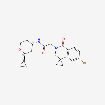 O=C(CN1CC2(CC2)c2cc(Br)ccc2C1=O)N[C@H]1CCO[C@H](C2CC2)C1